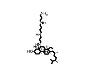 CC(C)[C@H](C)CC[C@@H](C)[C@H]1CC[C@H]2[C@@H]3C[C@@H](NCCCNCCCCNCCCN)[C@@]4(O)C[C@@H](O)CC[C@]4(C)[C@H]3CC[C@]12C